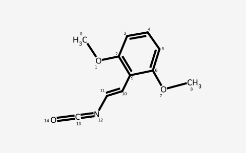 COc1cccc(OC)c1C=CN=C=O